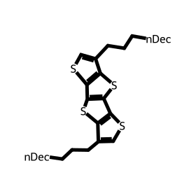 CCCCCCCCCCCCCc1csc2c1sc1c3scc(CCCCCCCCCCCCC)c3sc21